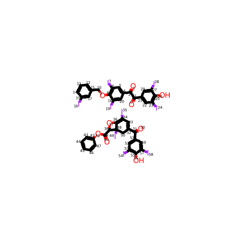 O=C(C(=O)c1cc(I)c(OCc2cccc(I)c2)c(I)c1)c1cc(I)c(O)c(I)c1.O=C(C1=CC(I)=C2OC(C(=O)Oc3ccccc3)C2(I)C1)c1cc(I)c(O)c(I)c1